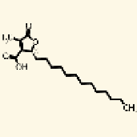 CCCCCCCCCCCCC[C@@H]1OC(=O)C(C)=C1C(=O)O